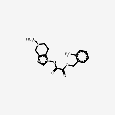 O=C(OCc1ccccc1C(F)(F)F)C(=O)On1cnc2c1CCN(C(=O)O)C2